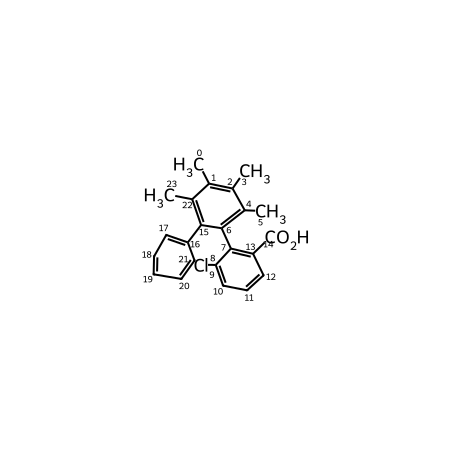 Cc1c(C)c(C)c(-c2c(Cl)cccc2C(=O)O)c(-c2ccccc2)c1C